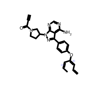 C#CC(=O)N1CCC(n2nc(-c3ccc(OC(/C=C\C)=C/C=C)cc3)c3c(N)ncnc32)C1